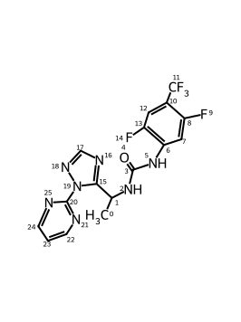 CC(NC(=O)Nc1cc(F)c(C(F)(F)F)cc1F)c1ncnn1-c1ncccn1